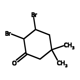 CC1(C)CC(=O)C(Br)C(Br)C1